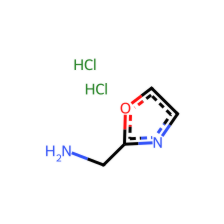 Cl.Cl.NCc1ncco1